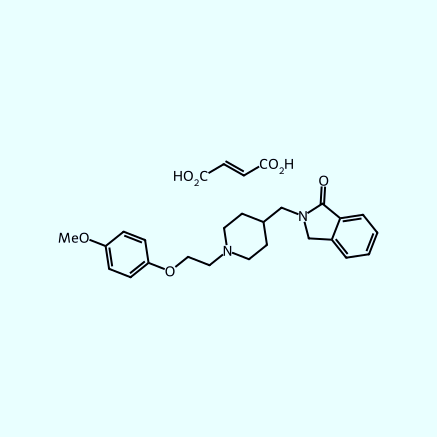 COc1ccc(OCCN2CCC(CN3Cc4ccccc4C3=O)CC2)cc1.O=C(O)C=CC(=O)O